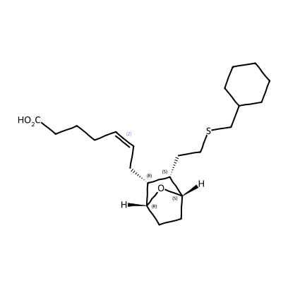 O=C(O)CCC/C=C\C[C@@H]1[C@H](CCSCC2CCCCC2)[C@@H]2CC[C@H]1O2